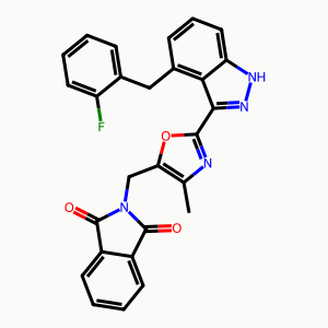 Cc1nc(-c2n[nH]c3cccc(Cc4ccccc4F)c23)oc1CN1C(=O)c2ccccc2C1=O